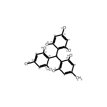 Cc1cc(Cl)c(C(c2c(Cl)cc(Cl)cc2Cl)c2c(Cl)cc(Cl)cc2Cl)c(Cl)c1